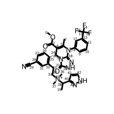 COC(=O)C1=C(C)N(c2cccc(C(F)(F)F)c2)c2n[nH]c(=O)n2[C@@H]1c1ccc(C#N)cc1CC[N+](C)(C)C(C)c1cc[nH]n1